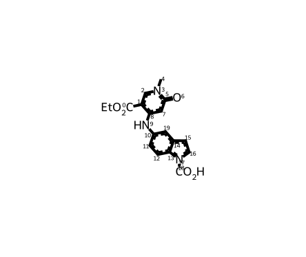 CCOC(=O)c1cn(C)c(=O)cc1Nc1ccc2c(ccn2C(=O)O)c1